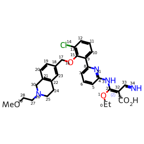 CCO/C(Nc1cccc(-c2cccc(Cl)c2OCc2ccc3c(c2)CCN(CCOC)C3)n1)=C(/C=N)C(=O)O